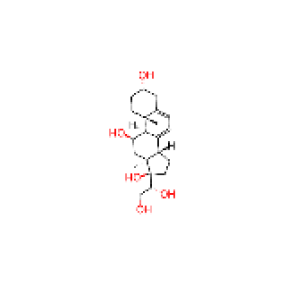 C[C@]12C[C@@H](O)[C@@H]3C(=CC=C4C[C@@H](O)CC[C@]43C)[C@@H]1CC[C@]2(O)[C@H](O)CO